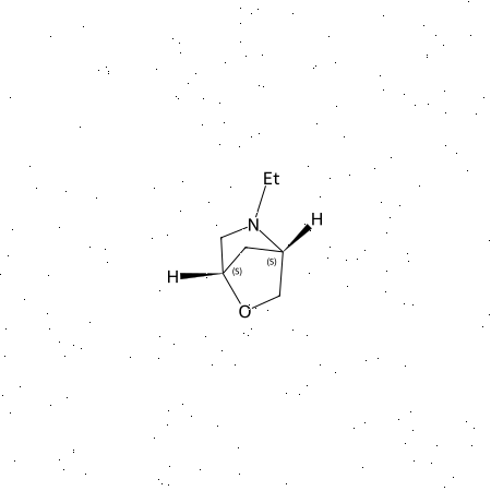 [CH2]CN1C[C@@H]2C[C@H]1CO2